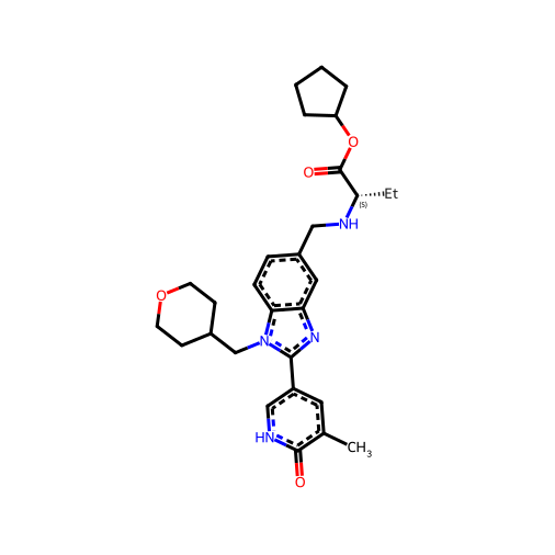 CC[C@H](NCc1ccc2c(c1)nc(-c1c[nH]c(=O)c(C)c1)n2CC1CCOCC1)C(=O)OC1CCCC1